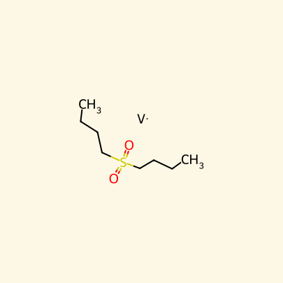 CCCCS(=O)(=O)CCCC.[V]